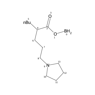 BOC(=O)C(CCCC)CCCN1CCCC1